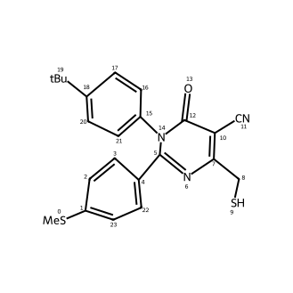 CSc1ccc(-c2nc(CS)c(C#N)c(=O)n2-c2ccc(C(C)(C)C)cc2)cc1